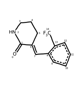 O=C1NCCCC1=Cc1ccccc1C(F)(F)F